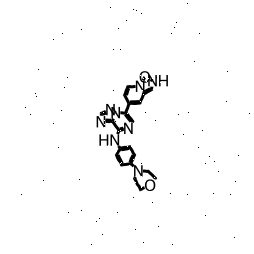 C1=CN2ONC=C2C=C1c1cnc(Nc2ccc(N3CCOCC3)cc2)c2ncnn12